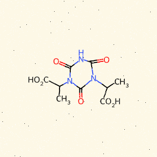 CC(C(=O)O)n1c(=O)[nH]c(=O)n(C(C)C(=O)O)c1=O